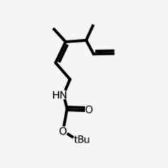 C=CC(C)C(C)=CCNC(=O)OC(C)(C)C